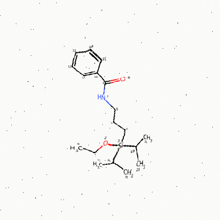 CCO[Si](CCCNC(=O)c1ccccc1)(C(C)C)C(C)C